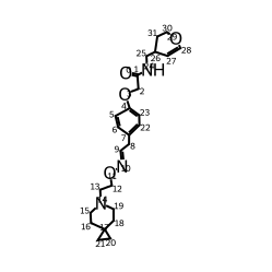 O=C(COc1ccc(CC=NOCCN2CCC3(CC2)CC3)cc1)NCC1C=COCC1